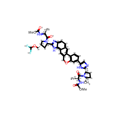 COC(=O)N[C@H](C(=O)N1C[C@@H](COC(F)F)CC1c1nc2ccc3cc4c(cc3c2[nH]1)COc1cc(-c2cnc([C@@H]3CC[C@H](C)N3C(=O)[C@@H](NC(=O)OC)C(C)C)[nH]2)ccc1-4)C(C)C